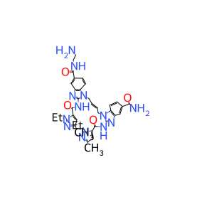 CCn1nc(C)cc1C(=O)Nc1nc2cc(C(N)=O)ccc2n1C/C=C/Cn1c(NC(=O)c2cc(C)nn2CC)nc2cc(C(=O)NCCN)ccc21